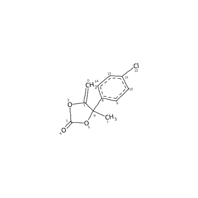 C=C1OC(=O)OC1(C)c1ccc(Cl)cc1